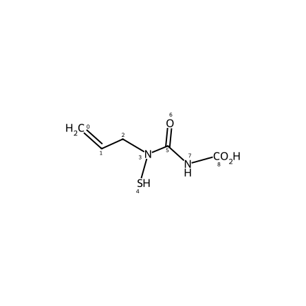 C=CCN(S)C(=O)NC(=O)O